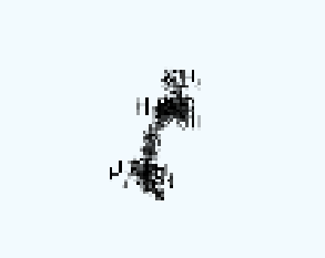 Cc1ncsc1-c1ccc(CNC(=O)[C@@H]2C[C@@H](O)CN2C(=O)C(NC(=O)COCCN2CCC(c3ccc(C(=O)N[C@H]4C(C)(C)[C@H](Oc5ccc(C#N)c(Cl)c5)C4(C)C)cc3)CC2)C(C)(C)C)cc1